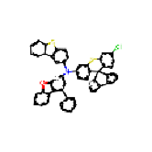 Clc1ccc2c(c1)Sc1cc(N(c3ccc4c(c3)C3C=CC=CC3S4)c3cc(-c4ccccc4)c4c(c3)oc3ccccc34)ccc1C21c2ccccc2-c2ccccc21